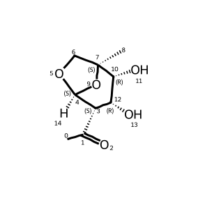 CC(=O)[C@@H]1[C@H]2OC[C@](C)(O2)[C@H](O)[C@@H]1O